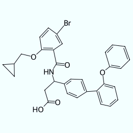 O=C(O)CC(NC(=O)c1cc(Br)ccc1OCC1CC1)c1ccc(-c2ccccc2Oc2ccccc2)cc1